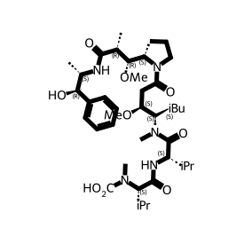 CC[C@H](C)[C@@H]([C@H](CC(=O)N1CCC[C@H]1[C@H](OC)[C@@H](C)C(=O)N[C@@H](C)[C@H](O)c1ccccc1)OC)N(C)C(=O)[C@@H](NC(=O)[C@H](C(C)C)N(C)C(=O)O)C(C)C